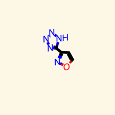 c1cc(-c2nnn[nH]2)no1